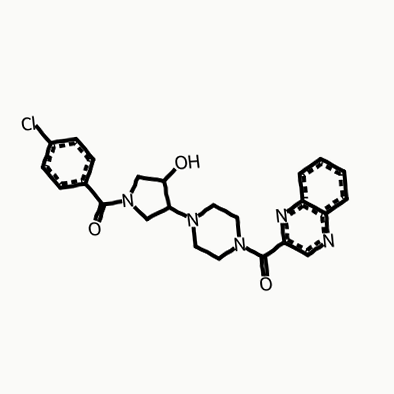 O=C(c1ccc(Cl)cc1)N1CC(O)C(N2CCN(C(=O)c3cnc4ccccc4n3)CC2)C1